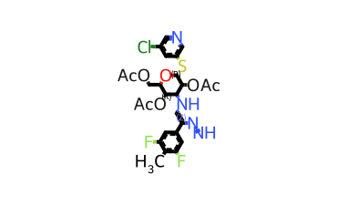 CC(=O)OCC1O[C@H](Sc2cncc(Cl)c2)C(OC(C)=O)C(N/C=C(\N=N)c2cc(F)c(C)c(F)c2)[C@H]1OC(C)=O